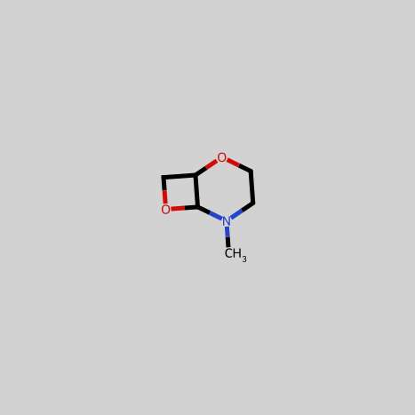 CN1CCOC2COC21